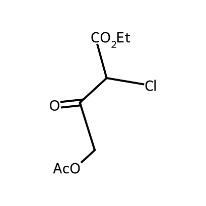 CCOC(=O)C(Cl)C(=O)COC(C)=O